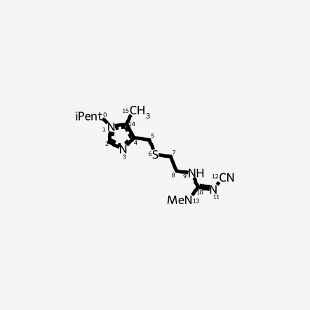 CCCC(C)n1cnc(CSCCN/C(=N\C#N)NC)c1C